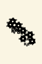 Cc1cccc2c1oc1c(N(c3ccccc3)c3ccc4c(c3)C(C)(C)c3c-4ccc4c3C(C)(C)c3cccc5cccc-4c35)cccc12